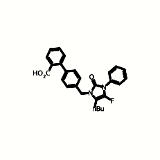 CCCCc1c(F)n(-c2ccccc2)c(=O)n1Cc1ccc(-c2ccccc2C(=O)O)cc1